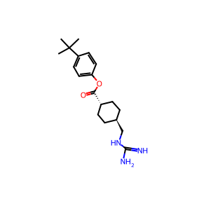 CC(C)(C)c1ccc(OC(=O)[C@H]2CC[C@H](CNC(=N)N)CC2)cc1